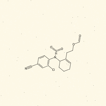 N#Cc1ccc(N(C2CCCC=C2CCOC=O)[SH](=O)=O)c(Cl)c1